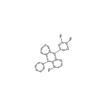 Fc1ccc(-c2c3ccccc3c(-c3ccccc3)c3c(F)cccc23)cc1F